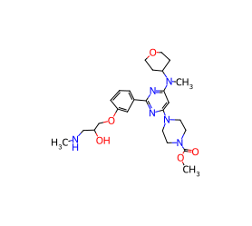 CNCC(O)COc1cccc(-c2nc(N3CCN(C(=O)OC)CC3)cc(N(C)C3CCOCC3)n2)c1